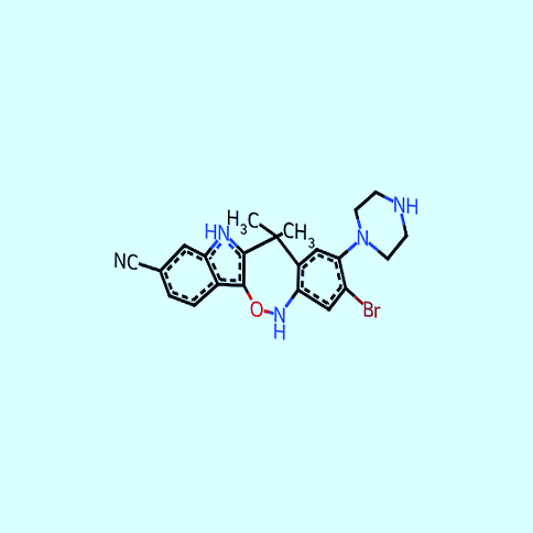 CC1(C)c2cc(N3CCNCC3)c(Br)cc2NOc2c1[nH]c1cc(C#N)ccc21